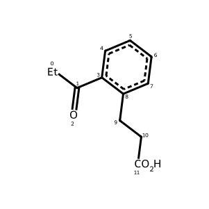 CCC(=O)c1ccccc1CCC(=O)O